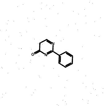 O=C1CC=NC(c2ccccc2)=N1